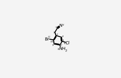 N#CCc1cc(Cl)c(N)cc1Br